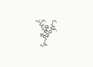 CCCOC(=O)N=C(N)c1ccc(NC(c2nc(OCOC(=O)OC(CC)CC)n(-c3ncccn3)n2)c2cc(OC)cc(OCCOC(C)=O)c2F)cc1